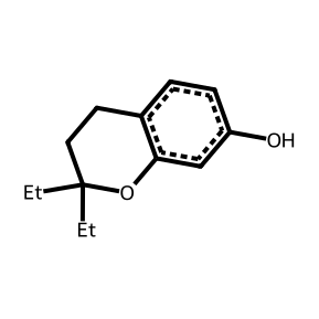 CCC1(CC)CCc2ccc(O)cc2O1